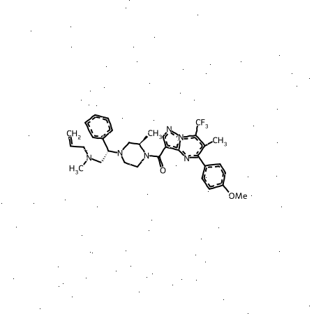 C=CCN(C)C[C@H](c1ccccc1)N1CCN(C(=O)c2cnn3c(C(F)(F)F)c(C)c(-c4ccc(OC)cc4)nc23)[C@H](C)C1